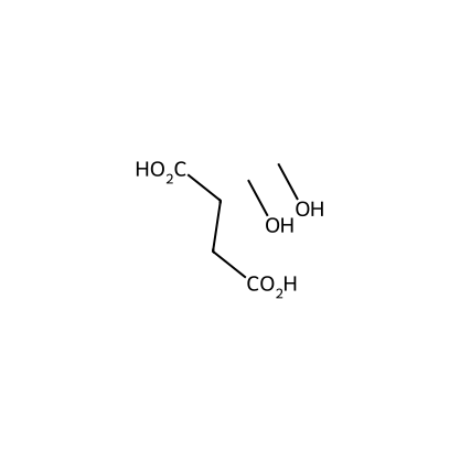 CO.CO.O=C(O)CCC(=O)O